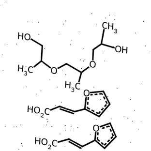 CC(O)COC(C)COC(C)CO.O=C(O)C=Cc1ccco1.O=C(O)C=Cc1ccco1